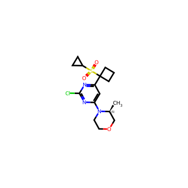 C[C@H]1COCCN1c1cc(C2(S(=O)(=O)C3CC3)CCC2)nc(Cl)n1